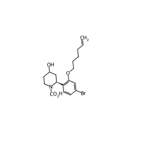 C=CCCCCOc1cc(Br)ccc1[C@@H]1CC(O)CCN1C(=O)O